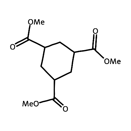 COC(=O)C1CC(C(=O)OC)CC(C(=O)OC)C1